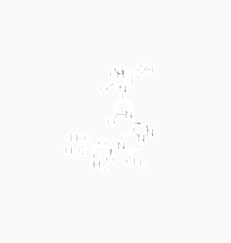 CC(=O)N(CC(O)Cl)C1CC(=O)N(c2cnn3c2CN(C(=O)OC(C)(C)C)[C@@H](C)C3)C1